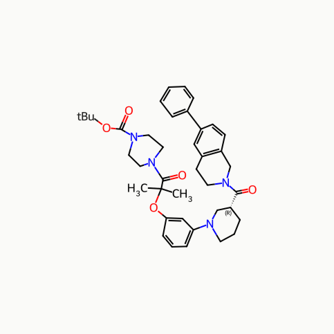 CC(C)(C)OC(=O)N1CCN(C(=O)C(C)(C)Oc2cccc(N3CCC[C@@H](C(=O)N4CCc5cc(-c6ccccc6)ccc5C4)C3)c2)CC1